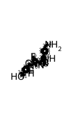 Cc1c(NC(=O)c2ccc(C(C)(C)O)cc2F)cc(F)cc1-c1ncnc2[nH]c(-c3ccc(CN)cc3)cc12